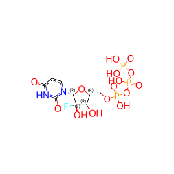 O=c1ccn([C@@H]2O[C@H](COP(=O)(O)OP(=O)(O)OP(=O)(O)O)[C@@H](O)[C@]2(O)F)c(=O)[nH]1